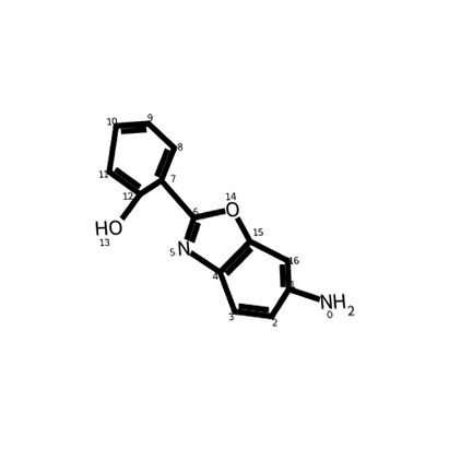 Nc1ccc2nc(-c3ccccc3O)oc2c1